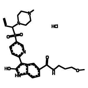 C=CC(N1CCN(C)CC1)S(=O)(=O)c1ccc(-c2c(O)[nH]c3ccc(C(=O)NCCCOC)cc23)nc1.Cl